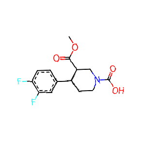 COC(=O)C1CN(C(=O)O)CCC1c1ccc(F)c(F)c1